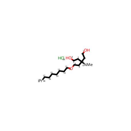 CNC(CCO)(CCO)CCOCCCCCCCC(C)C.Cl